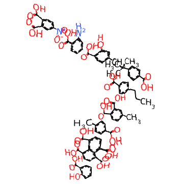 CC(C)(C)c1ccc(C(=O)O)cc1.CCCc1ccc(C(=O)O)cc1.Cc1ccc(C(=O)O)c(C(=O)O)c1.Cc1ccc(C(=O)O)c(O)c1.Cc1ccc(C(=O)O)cc1.Nc1ccccc1C(=O)O.O=C(O)c1ccc(C(=O)O)c2c(C(=O)O)ccc(C(=O)O)c12.O=C(O)c1ccc([N+](=O)[O-])cc1C(=O)O.O=C(O)c1ccccc1O